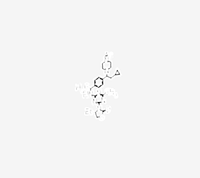 CC[C@H]1COC(=O)N1c1nc(C)nc(N[C@@H](C)c2ccc(C(CC3CC3)N3CCN(C(C)=O)CC3)cc2)n1